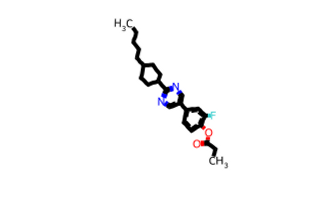 CCCCCC1CCC(c2ncc(-c3ccc(OC(=O)CC)c(F)c3)cn2)CC1